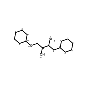 NC(CC1CCCCC1)C(O)CSC1CCCCC1